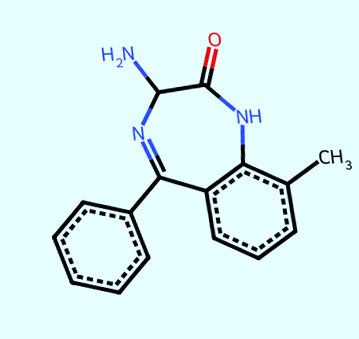 Cc1cccc2c1NC(=O)C(N)N=C2c1ccccc1